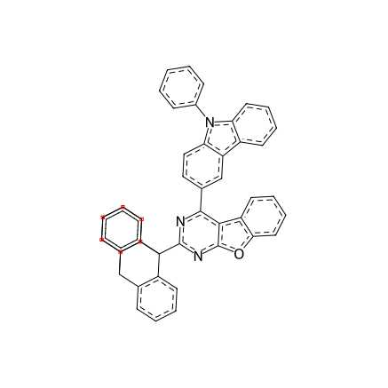 c1ccc(-n2c3ccccc3c3cc(-c4nc(C56c7ccccc7C(c7ccccc75)c5ccccc56)nc5oc6ccccc6c45)ccc32)cc1